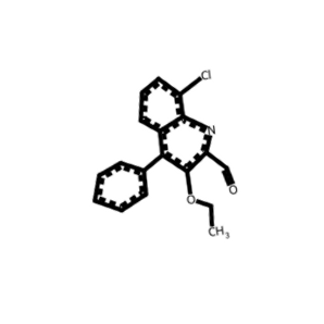 CCOc1c(C=O)nc2c(Cl)cccc2c1-c1ccccc1